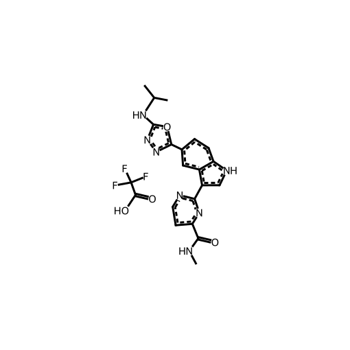 CNC(=O)c1ccnc(-c2c[nH]c3ccc(-c4nnc(NC(C)C)o4)cc23)n1.O=C(O)C(F)(F)F